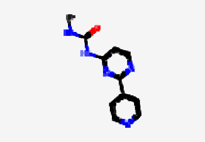 CC(C)NC(=O)Nc1ccnc(-c2ccncc2)n1